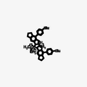 CC1=Cc2c(cc3c(c2-c2ccc(C(C)(C)C)cc2)CCC3)[CH]1[Zr]([Cl])([Cl])([CH]1C(C)=Cc2c1cc1c(c2-c2ccc(C(C)(C)C)cc2)CCC1)[SiH](C)C